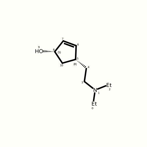 CCN(CC)CC[C@H]1C=C[C@@H](O)C1